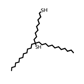 CCCCCCCCCCCCC(S)(CCCCCCCCCS)CCCCCCCCCCCC